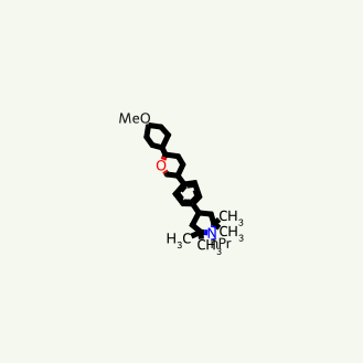 CCCN1C(C)(C)CC(c2ccc(C3CCC(C4CCC(OC)CC4)OC3)cc2)CC1(C)C